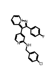 Fc1ccc(-c2nn3ccccc3c2-c2ccnc(NCc3ccc(Cl)cc3)c2)cc1